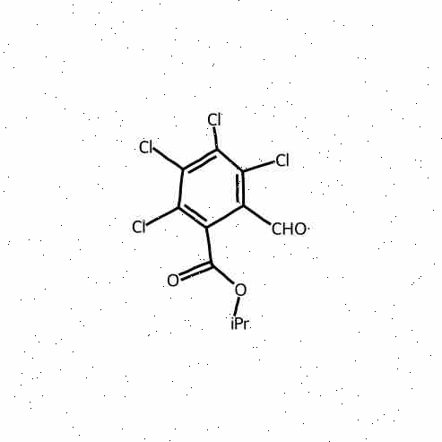 CC(C)OC(=O)c1c(Cl)c(Cl)c(Cl)c(Cl)c1[C]=O